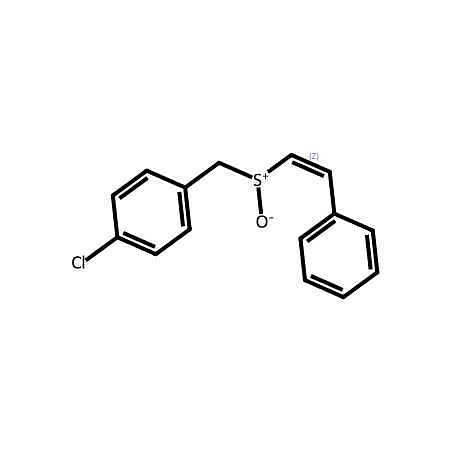 [O-][S+](/C=C\c1ccccc1)Cc1ccc(Cl)cc1